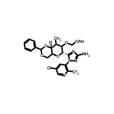 COCOC1C(C)[C@H]2OC(c3ccccc3)OCC2O[C@H]1c1nc(N)nn1-c1cc(Cl)cnc1C(F)(F)F